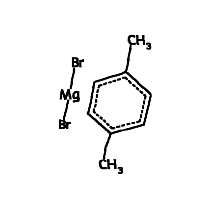 Cc1ccc(C)cc1.[Br][Mg][Br]